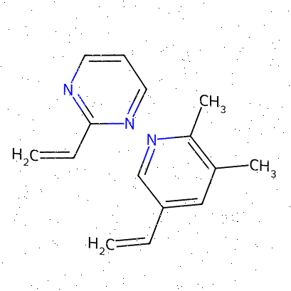 C=Cc1cnc(C)c(C)c1.C=Cc1ncccn1